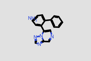 N.c1ccc(-c2ccccc2-c2cncc3ncnn23)cc1